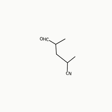 CC(C#N)CC(C)C=O